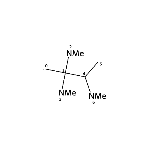 [CH2]C(NC)(NC)C(C)NC